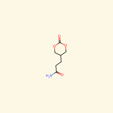 NC(=O)CCC1COC(=O)OC1